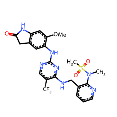 COc1cc2c(cc1Nc1ncc(C(F)(F)F)c(NCc3cccnc3N(C)S(C)(=O)=O)n1)CC(=O)N2